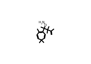 C=C(C)C(C)(C)C(C)(ON)C1=C(C)C=CC(C)(C)C=C1